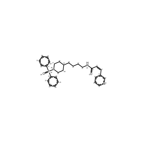 O=C(/C=C\c1cccnc1)NCCCCC1CCN(P(=O)(c2ccccc2)c2ccccc2)CC1